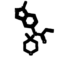 C=CC(=O)N(c1ccc2c(cnn2C)c1)C1(C)CCOCC1